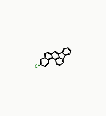 Clc1ccc2c(ccc3cc4c5c(cccc5c32)-c2ccccc2-4)c1